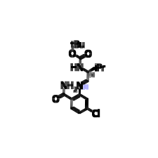 CC(C)[C@@H](/C=N/c1cc(Cl)ccc1C(N)=O)NC(=O)OC(C)(C)C